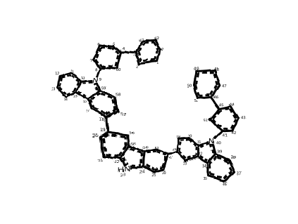 c1ccc(-c2cccc(-n3c4ccccc4c4cc(-c5ccc6[nH]c7ccc(-c8ccc9c(c8)c8ccccc8n9-c8cccc(-c9ccccc9)c8)cc7c6c5)ccc43)c2)cc1